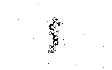 CC(C)n1cnnc1-c1cccc(NC(=O)c2cc3c(cn2)CCN(C(=O)OC(C)(C)C)C3)n1